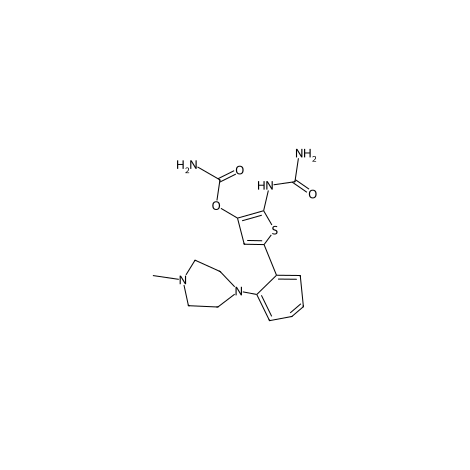 CN1CCN(c2ccccc2-c2cc(OC(N)=O)c(NC(N)=O)s2)CC1